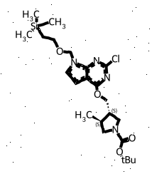 C[C@@H]1CN(C(=O)OC(C)(C)C)C[C@H]1COc1nc(Cl)nc2c1ccn2COCC[Si](C)(C)C